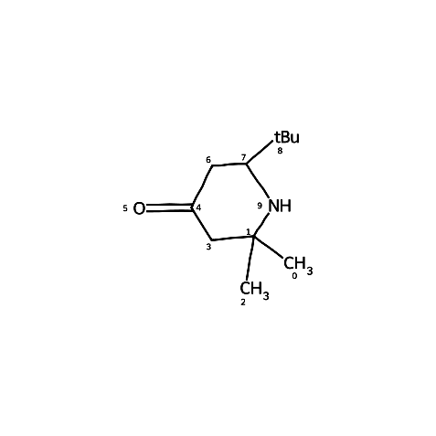 CC1(C)CC(=O)CC(C(C)(C)C)N1